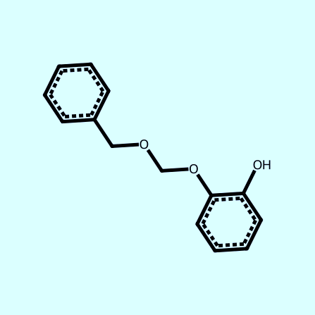 Oc1ccccc1OCOCc1ccccc1